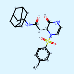 Cc1ccc(S(=O)(=O)N2C=CNC(=O)[C@H]2CC(=O)NC23CC4CC(CC(C4)C2)C3)cc1